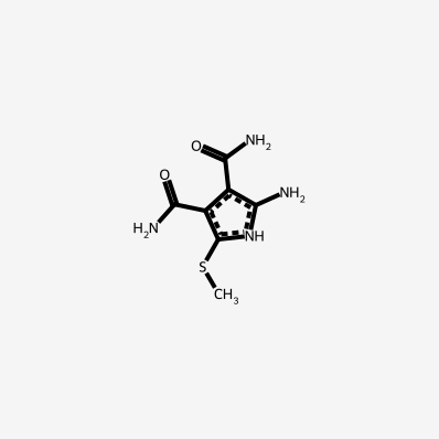 CSc1[nH]c(N)c(C(N)=O)c1C(N)=O